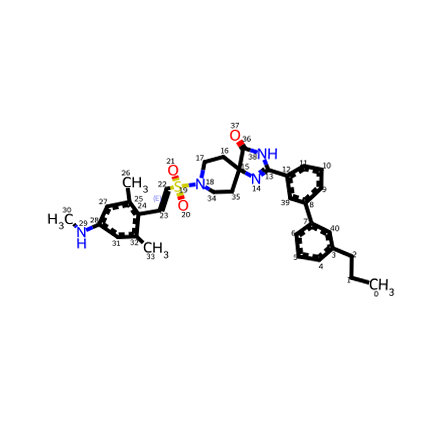 CCCc1cccc(-c2cccc(C3=NC4(CCN(S(=O)(=O)/C=C/c5c(C)cc(NC)cc5C)CC4)C(=O)N3)c2)c1